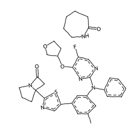 Cc1cc(-c2cnc(C34CCCN3C(=O)C4)s2)cc(N(c2ccccc2)c2ncc(F)c(OC3CCOC3)n2)c1.O=C1CCCCCN1